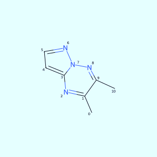 Cc1nc2ccnn2nc1C